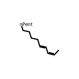 C/[C]=C\C=C\CCCCCCCCC